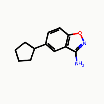 Nc1noc2ccc(C3CCCC3)cc12